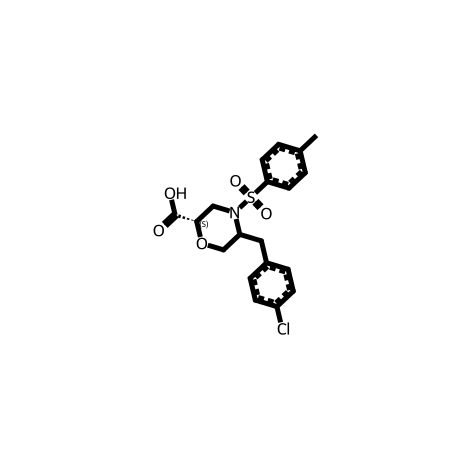 Cc1ccc(S(=O)(=O)N2C[C@@H](C(=O)O)OCC2Cc2ccc(Cl)cc2)cc1